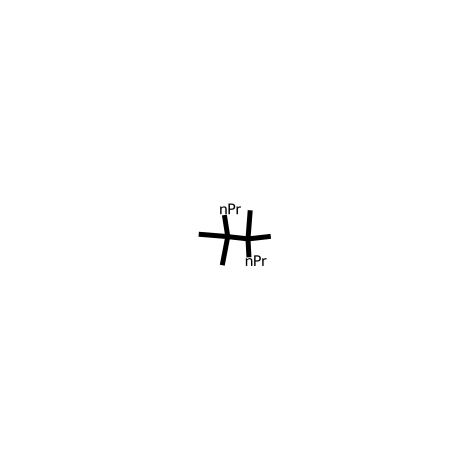 [CH2]CCC(C)(C)C(C)(C)CCC